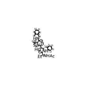 CC[C@H](NC(C)=O)C(=O)N[C@@H](Cc1ccccc1)[C@H](O)C(=O)N1CSC(C)(C)[C@H]1C(=O)NCc1ccccc1C